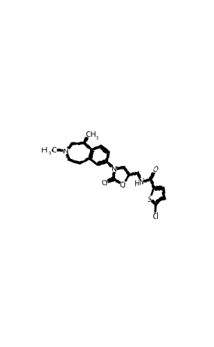 CC1CN(C)CCc2cc(N3CC(CNC(=O)c4ccc(Cl)s4)OC3=O)ccc21